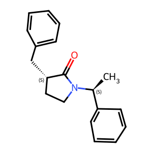 C[C@@H](c1ccccc1)N1CC[C@H](Cc2ccccc2)C1=O